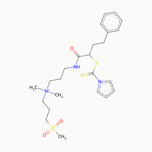 C[N+](C)(CCCNC(=O)C(CCc1ccccc1)SC(=S)n1cccc1)CCCS(C)(=O)=O